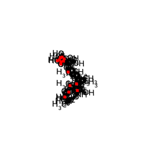 CCOC(=O)N[C@@H]1C(O)C(O[C@@H]2OC(C)[C@H](O[C@@H]3OC[C@@H](O)C(O[C@@H]4OC[C@@](O)(CC)C4O)C3O)C(O)C2O)[C@H](OC(=O)[C@]23CCC(C)(C)CC2C2=CCC4C5(C)CC[C@H](O[C@@H]6OC(C(=O)O)[C@@H](O)[C@H](O[C@@H]7OC[C@@H](O)[C@H](O)C7O)C6O[C@@H]6OC(CO)[C@H](O)[C@H](O)C6O)[C@](C)(C=O)[C@@H]5CC[C@]4(C)[C@]2(C)CC3O)O[C@@H]1CO